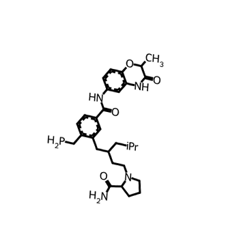 CC(C)CC(CCN1CCCC1C(N)=O)Cc1cc(C(=O)Nc2ccc3c(c2)NC(=O)C(C)O3)ccc1CP